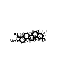 CO[C@H]1CC[C@@]2(C)[C@@H](CC[C@]3(C)[C@@H]2CC=C2[C@@H]4CC(C)(C)CC[C@]4(C(=O)O)CC[C@]23C)[C@]1(C)CO